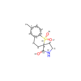 Cc1ccc2c(c1)CCC1(CCNC1=O)S2(=O)=O